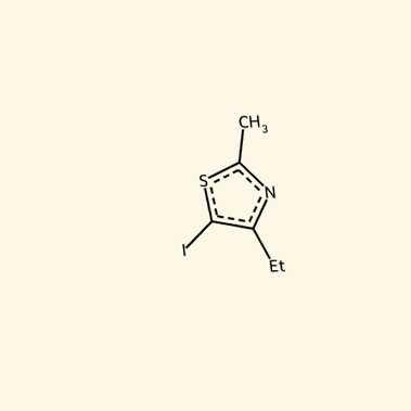 CCc1nc(C)sc1I